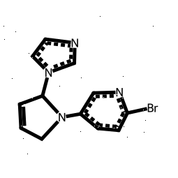 Brc1ccc(N2CC=CC2n2ccnc2)cn1